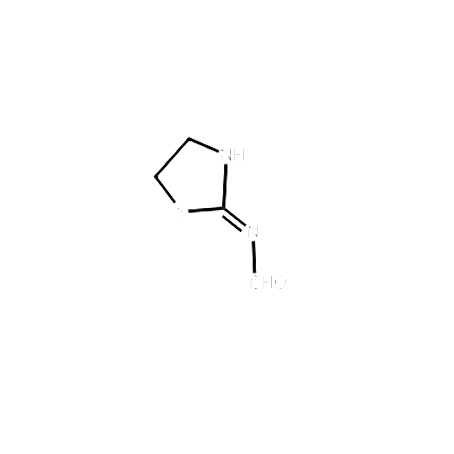 O=CN=C1NCCS1